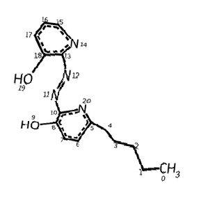 CCCCCc1ccc(O)c(N=Nc2ncccc2O)n1